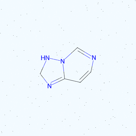 C1=CC2=NCNN2C=N1